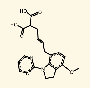 COc1ccc(C/C=C/CC(C(=O)O)C(=O)O)c2c1CCN2c1ncccn1